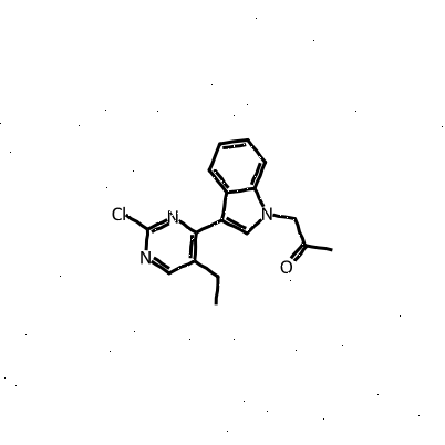 CCc1cnc(Cl)nc1-c1cn(CC(C)=O)c2ccccc12